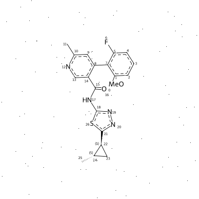 COc1cccc(F)c1-c1cc(C)ncc1C(=O)Nc1nnc([C@H]2C[C@@H]2C)s1